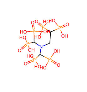 O=P(O)(O)C(CN(C(P(=O)(O)O)P(=O)(O)O)C(P(=O)(O)O)P(=O)(O)O)P(=O)(O)O